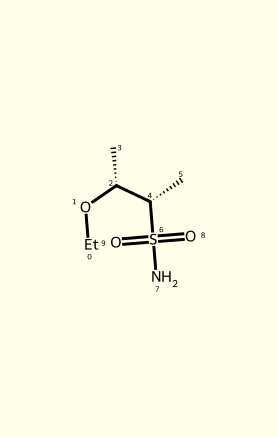 CCO[C@H](C)[C@H](C)S(N)(=O)=O